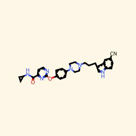 N#Cc1ccc2[nH]cc(CCCN3CCN(c4ccc(Oc5nccc(C(=O)NC6CC6)n5)cc4)CC3)c2c1